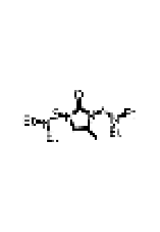 CCN(CC)SN1CC(C)N(SN(CC)CC)C1=O